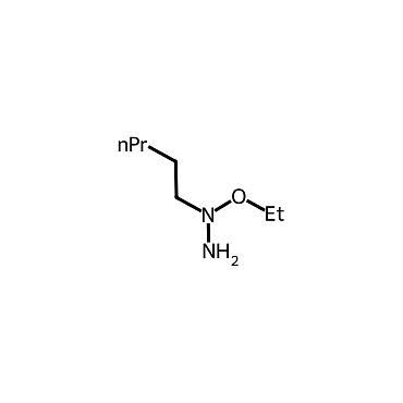 CCCCCN(N)OCC